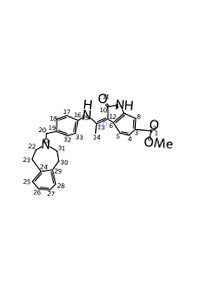 COC(=O)c1ccc2c(c1)NC(=O)/C2=C(/C)Nc1ccc(CN2CCc3ccccc3CC2)cc1